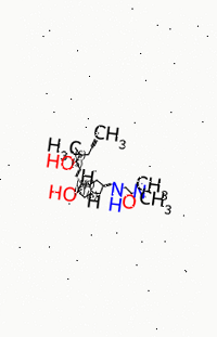 CC#CC[C@H](C)[C@H](O)C=C[C@@H]1[C@H]2CC(=CNCC(=O)N(C)C)C[C@H]2C[C@H]1O